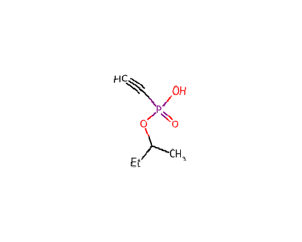 C#CP(=O)(O)OC(C)CC